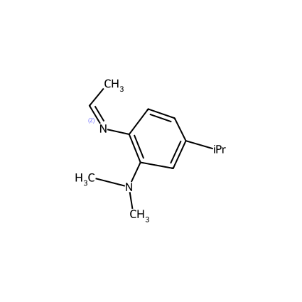 C/C=N\c1ccc(C(C)C)cc1N(C)C